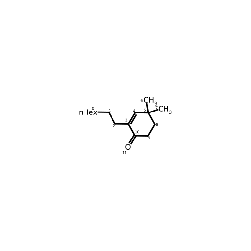 CCCCCCCCC1=CC(C)(C)CCC1=O